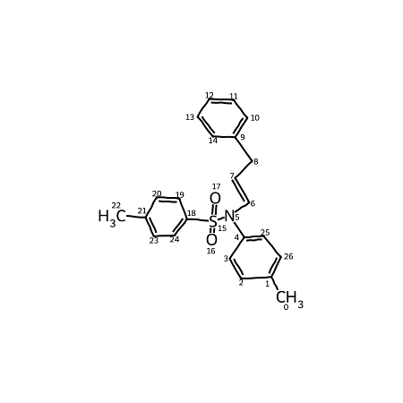 Cc1ccc(N(C=CCc2ccccc2)S(=O)(=O)c2ccc(C)cc2)cc1